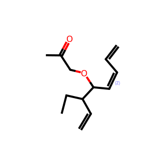 C=C/C=C\C(OCC(C)=O)C(C=C)CC